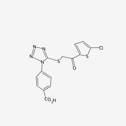 O=C(O)c1ccc(-n2nnnc2SCC(=O)c2ccc(Cl)s2)cc1